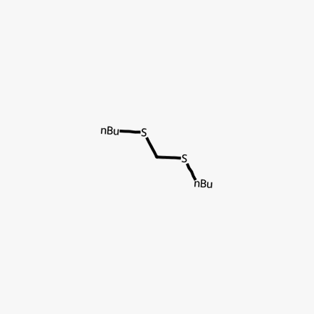 CCCCSCSCCCC